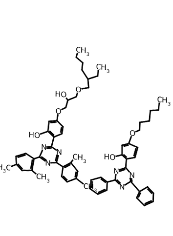 CCCCC(CC)COCC(O)COc1ccc(-c2nc(-c3ccc(C)cc3C)nc(-c3ccc(C)cc3C)n2)c(O)c1.CCCCCCOc1ccc(-c2nc(-c3ccccc3)nc(-c3ccccc3)n2)c(O)c1